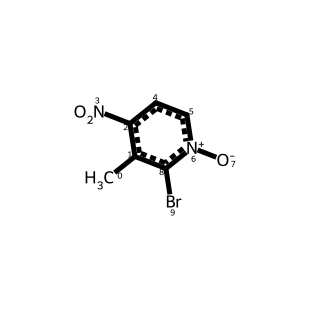 Cc1c([N+](=O)[O-])cc[n+]([O-])c1Br